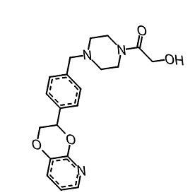 O=C(CO)N1CCN(Cc2ccc(C3COc4cccnc4O3)cc2)CC1